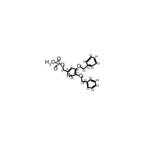 CS(=O)(=O)OCc1cc(OCc2ccccc2)c(OCc2ccccc2)cn1